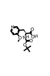 COc1ccncc1C[C@H](NC(=O)OC(C)(C)C)C(=O)O